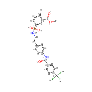 COC(=O)c1cc(S(=O)(=O)NCCc2ccc(NC(=O)c3ccc(C(F)(F)F)cc3)cc2)ccc1C